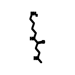 CNCCC(=O)NCCCCN